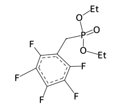 CCOP(=O)(Cc1c(F)c(F)c(F)c(F)c1F)OCC